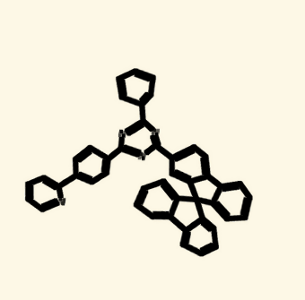 c1ccc(-c2nc(-c3ccc(-c4ccccn4)cc3)nc(-c3ccc4c(c3)C3(c5ccccc5-c5ccccc53)c3ccccc3-4)n2)cc1